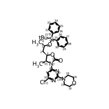 C[C@H](C[C@H]1OC(=O)N(c2cc(Cl)nc(N3CCOCC3)n2)[C@H]1C)O[Si](c1ccccc1)(c1ccccc1)C(C)(C)C